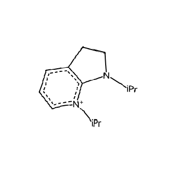 CC(C)N1CCc2ccc[n+](C(C)C)c21